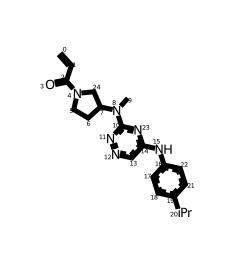 C=CC(=O)N1CCC(N(C)c2nncc(Nc3ccc(C(C)C)cc3)n2)C1